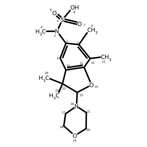 Cc1c(N(C)S(=O)(=O)O)cc2c(c1C)OC(N1CCOCC1)C2(C)C